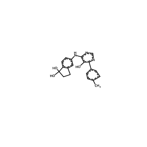 Cc1ccc(-c2ncnc(Nc3ccc4c(c3)CCC4(O)O)c2O)cc1